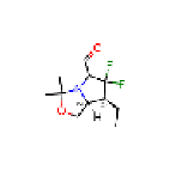 CC[C@H]1[C@H]2COC(C)(C)N2C(C=O)C1(F)F